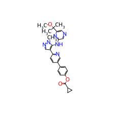 COC(C)(C)c1cncc(Nc2c(-c3ccc(-c4ccc(OC(=O)C5CC5)cc4)cn3)cnn2C)n1